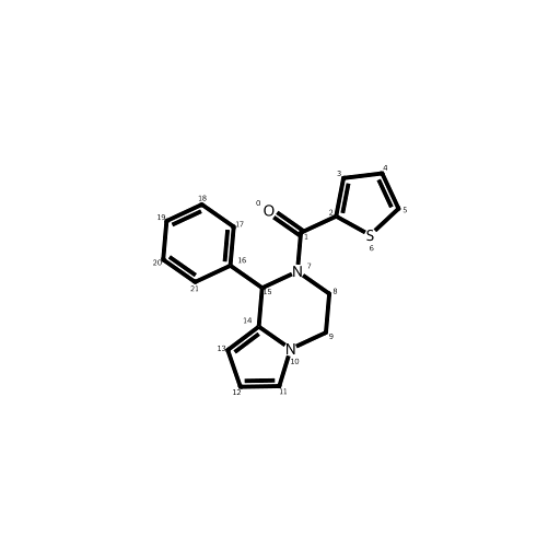 O=C(c1cccs1)N1CCn2cccc2C1c1ccccc1